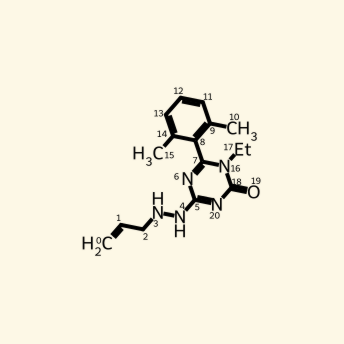 C=CCNNc1nc(-c2c(C)cccc2C)n(CC)c(=O)n1